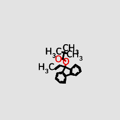 C/C=C/C1(OC(=O)C(C)(C)C)c2ccccc2-c2ccccc21